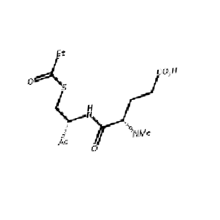 CCC(=O)SC[C@H](NC(=O)[C@H](CCC(=O)O)NC)C(C)=O